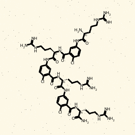 N=C(N)NCCC[C@@H](N)C(=O)Nc1ccc(Cl)c(C(=O)N[C@H](CCCNC(=N)N)C(=O)Nc2ccc(Cl)c(C(=O)N[C@H](CCCNC(=N)N)C(=O)Nc3ccc(Cl)c(C(=O)N[C@H](CCCNC(=N)N)C(N)=O)c3)c2)c1